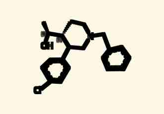 C[C@H](O)[C@@H]1CCN(Cc2ccccc2)CC1c1ccc(Cl)cc1